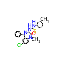 CC1CCCC(NC(=S)NC2N=C(c3ccccc3)c3cc(Cl)ccc3N(C)C2=O)C1